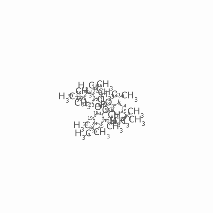 CC(C)c1cc(C(C)(C)C)ccc1OP(=O)(Oc1ccc(C(C)(C)C)cc1C(C)(C)C)Oc1ccc(C(C)(C)C)cc1C(C)(C)C